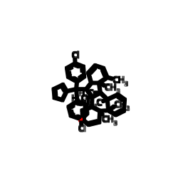 CC1=CC=CC2C(C(C3=CC=CC3)(c3ccc(Cl)cc3)c3ccc(Cl)cc3)C3(C)C4(C)C=CC=CC4(C)C4(C)C=CC=CC4(C)C3(C)C12C